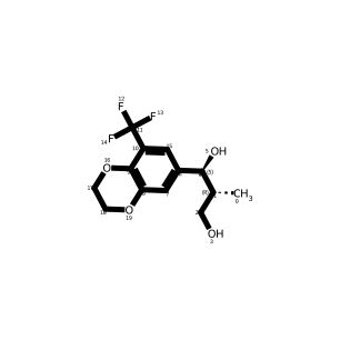 C[C@H](CO)[C@H](O)c1cc2c(c(C(F)(F)F)c1)OCCO2